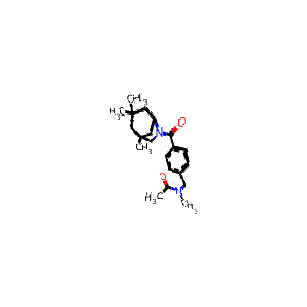 CC(=O)N(C)Cc1ccc(C(=O)N2CC3(C)CC2CC(C)(C)C3)cc1